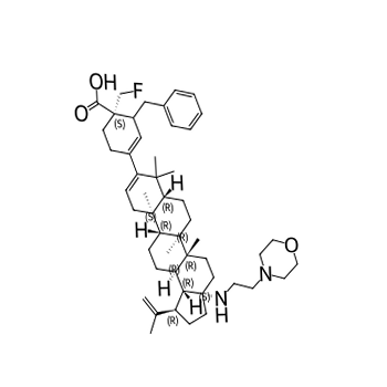 C=C(C)[C@@H]1CC[C@]2(NCCN3CCOCC3)CC[C@]3(C)[C@H](CC[C@@H]4[C@@]5(C)CC=C(C6=CC(Cc7ccccc7)[C@](CF)(C(=O)O)CC6)C(C)(C)[C@@H]5CC[C@]43C)[C@@H]12